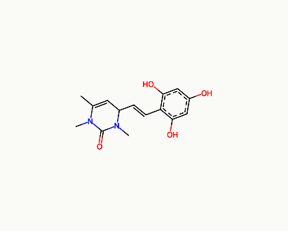 CC1=CC(C=Cc2c(O)cc(O)cc2O)N(C)C(=O)N1C